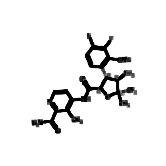 COc1c([C@@H]2[C@@H](C)[C@](C)(C(F)(F)F)O[C@H]2C(=O)Nc2ccnc(C(N)=O)c2C)ccc(F)c1F